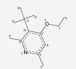 CCOc1cc(C)nc(C)c1C(C)(C)C